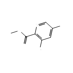 COC(=O)c1ncc(F)cc1Br